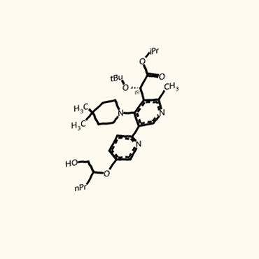 CCCC(CO)Oc1ccc(-c2cnc(C)c([C@H](OC(C)(C)C)C(=O)OC(C)C)c2N2CCC(C)(C)CC2)nc1